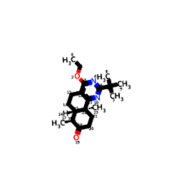 CCOc1nc(C(C)(C)C)nc2c1CC[C@H]1[C@H](C)C(=O)CC[C@]21C